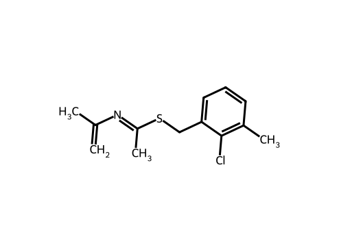 C=C(C)/N=C(\C)SCc1cccc(C)c1Cl